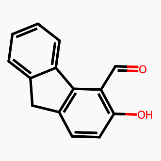 O=Cc1c(O)ccc2c1-c1ccccc1C2